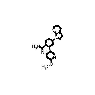 COc1ccc(-c2cc(-n3ccc4cccnc43)ccc2C(=N)N)cn1